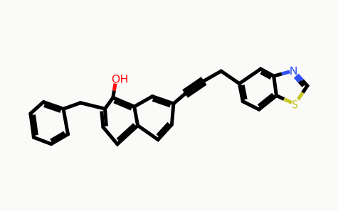 Oc1c(Cc2ccccc2)ccc2ccc(C#CCc3ccc4scnc4c3)cc12